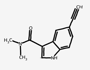 C#Cc1ccc2[nH][c]c(C(=O)N(C)C)c2c1